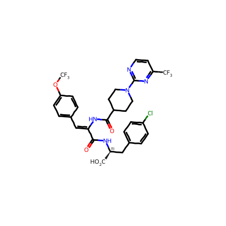 O=C(N[C@@H](Cc1ccc(Cl)cc1)C(=O)O)C(=Cc1ccc(OC(F)(F)F)cc1)NC(=O)C1CCN(c2nccc(C(F)(F)F)n2)CC1